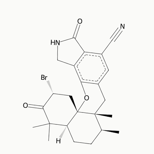 C[C@H]1CC[C@H]2C(C)(C)C(=O)[C@H](Br)C[C@]23Oc2c(cc(C#N)c4c2CNC4=O)C[C@]13C